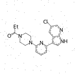 CCC(=O)N1CCN(c2cccc(-c3c[nH]c4ncc(Cl)cc34)n2)CC1